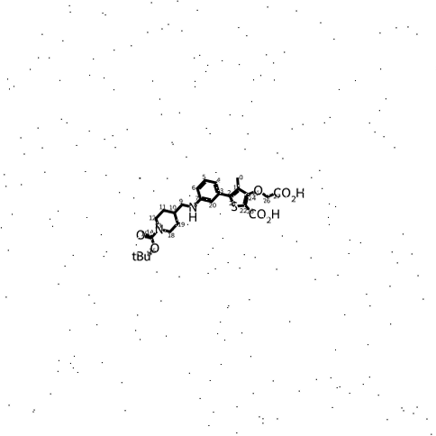 Cc1c(-c2cccc(NCC3CCN(C(=O)OC(C)(C)C)CC3)c2)sc(C(=O)O)c1OCC(=O)O